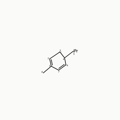 CC1=C[CH]C(C(C)C)C=C1